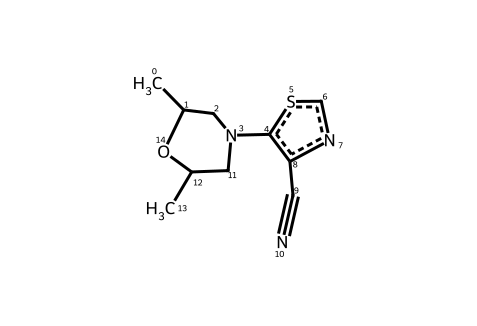 CC1CN(c2scnc2C#N)CC(C)O1